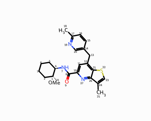 CO[C@@H]1CCCC[C@H]1NC(=O)c1cc(Cc2ccc(C)nc2)c2scc(C)c2n1